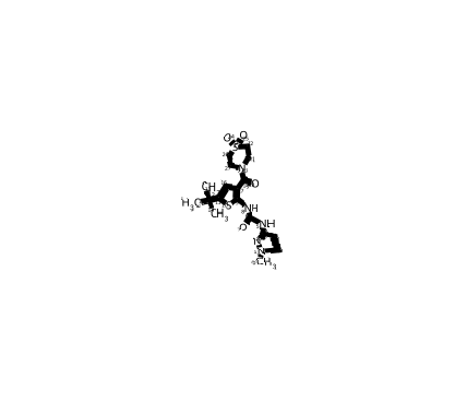 Cn1ccc(NC(=O)Nc2sc(C(C)(C)C)cc2C(=O)N2CCS(=O)(=O)CC2)n1